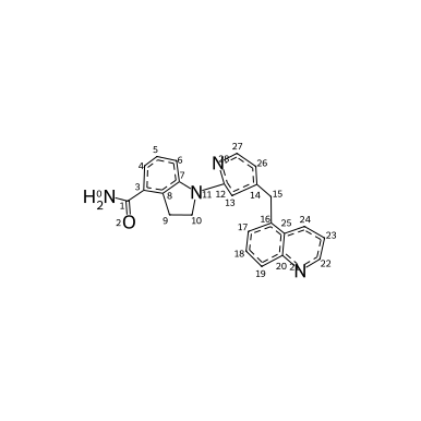 NC(=O)c1cccc2c1CCN2c1cc(Cc2cccc3ncccc23)ccn1